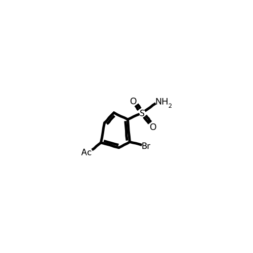 CC(=O)c1ccc(S(N)(=O)=O)c(Br)c1